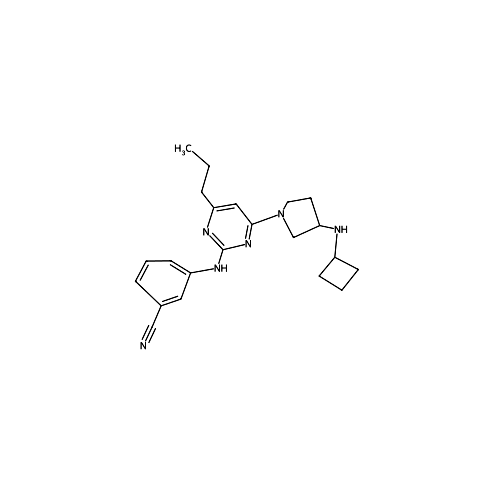 CCCc1cc(N2CCC(NC3CCC3)C2)nc(Nc2cccc(C#N)c2)n1